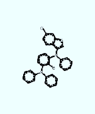 Clc1ccc2c(N(c3ccccc3)c3cccc(N(c4ccccc4)c4ccccc4)c3Cl)csc2c1